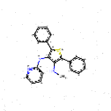 CNc1c(-c2ccccc2)sc(-c2ccccc2)c1Nc1ccccn1